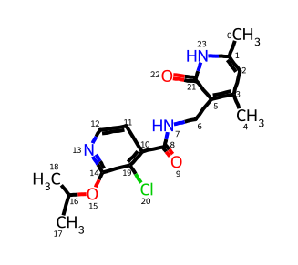 Cc1cc(C)c(CNC(=O)c2ccnc(OC(C)C)c2Cl)c(=O)[nH]1